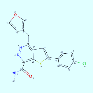 CNC(=O)c1nnc(Cc2ccoc2)c2cc(-c3ccc(Cl)cc3)sc12